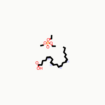 CCCCC/C=C\C/C=C\C/C=C\C/C=C\CCCC(=O)O.CCOP(=O)(OCC)OCC